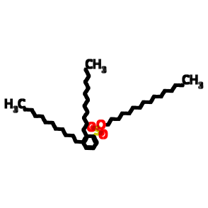 CCCCCCCCCCCCCCCCOS(=O)(=O)c1cccc(CCCCCCCCCCCC)c1CCCCCCCCCCCC